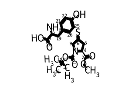 COC(=O)[C@@H]1CC(=S)CN1C(=O)OC(C)(C)C.N[C@@H](Cc1ccc(O)cc1)C(=O)O